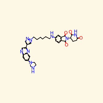 O=C1CCC(N2C(=O)c3ccc(NCCCCCCn4cc(-c5cnc6ccc(N7CCNC7)cc6n5)cn4)cc3C2=O)C(=O)N1